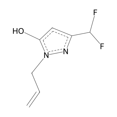 C=CCn1nc(C(F)F)cc1O